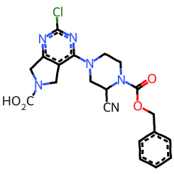 N#CC1CN(c2nc(Cl)nc3c2CN(C(=O)O)C3)CCN1C(=O)OCc1ccccc1